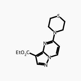 CCOC(=O)c1cnn2ccc(N3CCSCC3)nc12